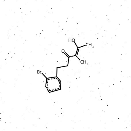 C/C(O)=C(\C)C(=O)CCc1ccccc1Br